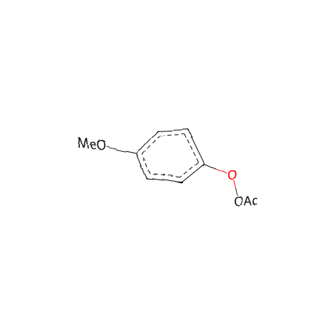 COc1ccc(OOC(C)=O)cc1